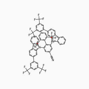 N#Cc1cc(-n2c3ccccc3c3ccc(-c4cc(C(F)(F)F)cc(C(F)(F)F)c4)cc32)c(-c2c(C#N)cccc2C(F)(F)F)c(-n2c3ccccc3c3ccc(-c4cc(C(F)(F)F)cc(C(F)(F)F)c4)cc32)c1